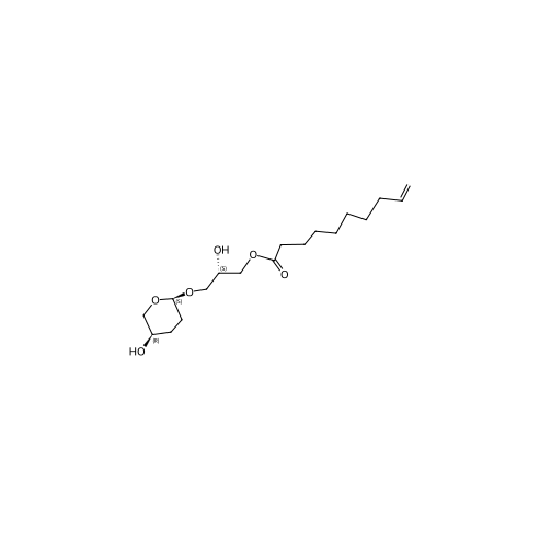 C=CCCCCCCCC(=O)OC[C@@H](O)CO[C@H]1CC[C@@H](O)CO1